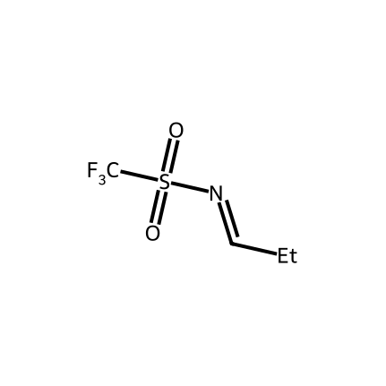 CC/C=N/S(=O)(=O)C(F)(F)F